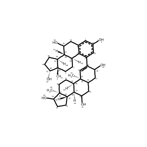 C[C@]12CC[C@@H]3c4c(cc(O)cc4C4=C[C@@]5(C)C(CC4O)CC(O)[C@@H]4[C@H]5CC[C@]5(C)C(O)CC[C@@H]45)CC(O)[C@H]3[C@@H]1CC[C@H]2O